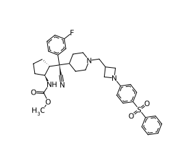 COC(=O)N[C@H]1CCC[C@@H]1[C@](C#N)(c1cccc(F)c1)C1CCN(CC2CN(c3ccc(S(=O)(=O)c4ccccc4)cc3)C2)CC1